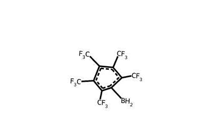 Bc1c(C(F)(F)F)c(C(F)(F)F)c(C(F)(F)F)c(C(F)(F)F)c1C(F)(F)F